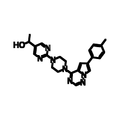 Cc1ccc(-c2cc3c(N4CCN(c5ncc(C(C)O)cn5)CC4)ncnn3c2)cc1